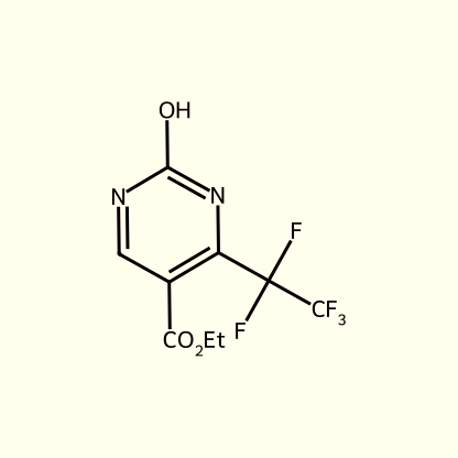 CCOC(=O)c1cnc(O)nc1C(F)(F)C(F)(F)F